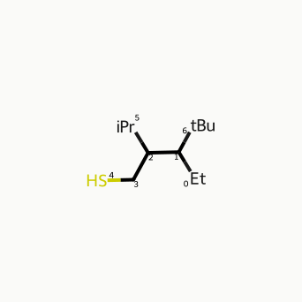 CCC(C(CS)C(C)C)C(C)(C)C